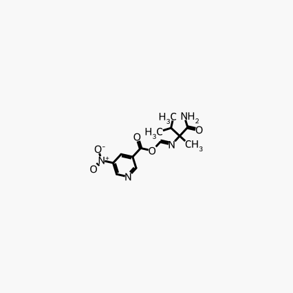 CC(C)C(C)(N=COC(=O)c1cncc([N+](=O)[O-])c1)C(N)=O